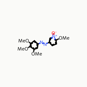 COc1cc(N=Nc2ccc(OC)[n+]([O-])c2)cc(OC)c1OC